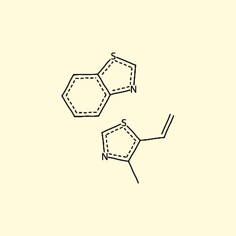 C=Cc1scnc1C.c1ccc2scnc2c1